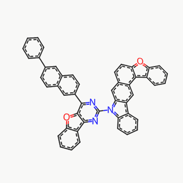 c1ccc(-c2ccc3cc(-c4nc(-n5c6ccccc6c6cc7c(ccc8oc9ccccc9c87)cc65)nc5c4oc4ccccc45)ccc3c2)cc1